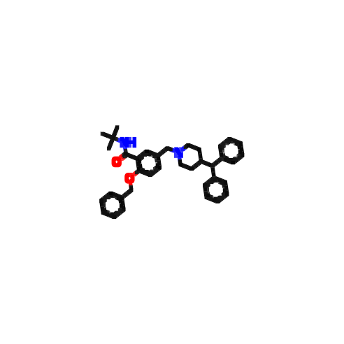 CC(C)(C)NC(=O)c1cc(CN2CCC(C(c3ccccc3)c3ccccc3)CC2)ccc1OCc1ccccc1